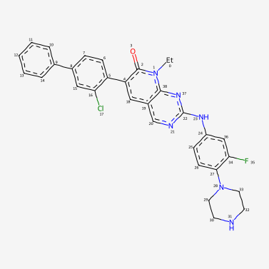 CCn1c(=O)c(-c2ccc(-c3ccccc3)cc2Cl)cc2cnc(Nc3ccc(N4CCNCC4)c(F)c3)nc21